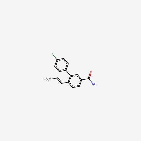 NC(=O)c1ccc(C=CC(=O)O)c(-c2ccc(F)cc2)c1